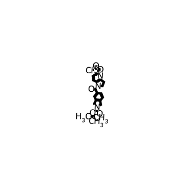 CC(C)(C)OC(=O)N1Cc2ccc(C(=O)N3CCc4nc(S(=O)(=O)Cl)ccc43)cc2C1